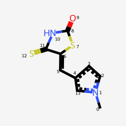 Cn1ccc(/C=C2\SC(=O)NC2=S)c1